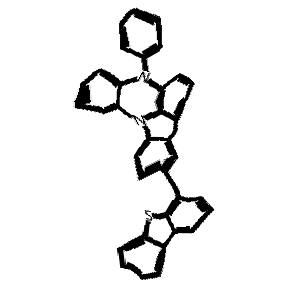 c1ccc(N2c3ccccc3-n3c4ccc(-c5cccc6c5sc5ccccc56)cc4c4cccc2c43)cc1